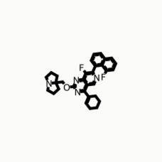 Fc1c(-c2cccc3cccc(F)c23)ncc2c(C3=CCCCC3)nc(OCC34CCCN3CCC4)nc12